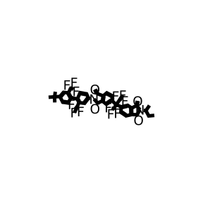 CCC(C)N1C(=O)c2ccc(C(c3ccc4c(c3)C(=O)N(c3ccc(-c5ccc(C(C)(C)C)cc5C(F)(F)F)c(C(F)(F)F)c3)C4=O)(C(F)(F)F)C(F)(F)F)cc2C1=O